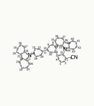 N#Cc1cccc(-c2cccc(-c3ccc(-n4c5ccccc5c5ccccc54)cc3)c2)c1-n1c2ccccc2c2ccccc21